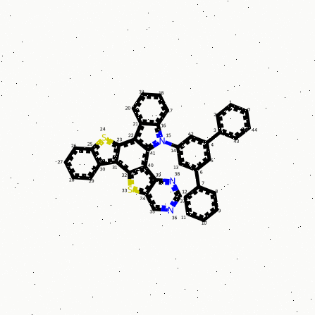 c1ccc(-c2cc(-c3ccccc3)cc(-n3c4ccccc4c4c5sc6ccccc6c5c5sc6cncnc6c5c43)c2)cc1